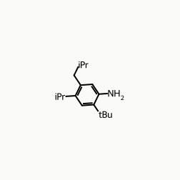 CC(C)Cc1cc(N)c(C(C)(C)C)cc1C(C)C